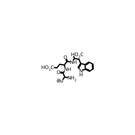 CCC(C)C(N)C(=O)NC(CCC(=O)O)C(=O)NC(Cc1c[nH]c2ccccc12)C(=O)O